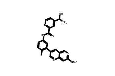 CNc1cc2ncc(-c3cc(NC(=O)c4cc(C(O)C(F)(F)F)ccn4)ccc3C)cc2cn1